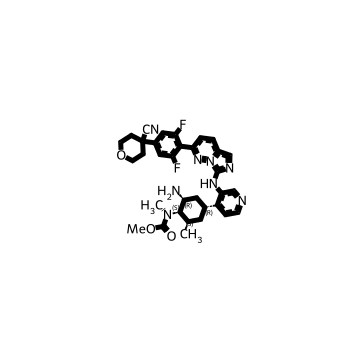 COC(=O)N(C)[C@@H]1[C@H](N)C[C@H](c2ccncc2Nc2ncc3ccc(-c4c(F)cc(C5(C#N)CCOCC5)cc4F)nn23)C[C@@H]1C